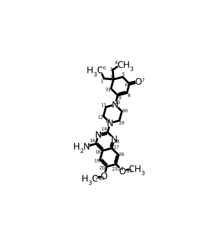 CCC1(CC)CC(=O)C=C(N2CCN(c3nc(N)c4cc(OC)c(OC)cc4n3)CC2)C1